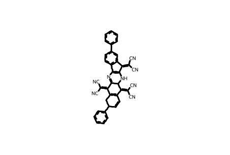 N#CC(C#N)=C1C2=NC3=C(NC2C(=C(C#N)C#N)C2=C1CC(c1ccccc1)C=C2)C(=C(C#N)C#N)c1cc(-c2ccccc2)ccc13